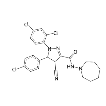 N#CC1C(C(=O)NN2CCCCCC2)=NN(c2ccc(Cl)cc2Cl)C1c1ccc(Cl)cc1